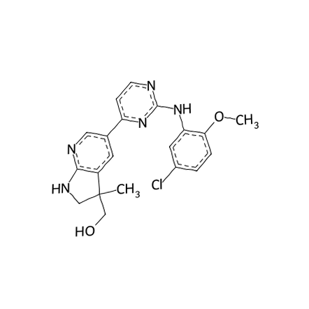 COc1ccc(Cl)cc1Nc1nccc(-c2cnc3c(c2)C(C)(CO)CN3)n1